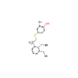 CC(C)Cc1cccc([SiH2]CSc2ccc(O)c(C(C)(C)C)c2)c1CC(C)C